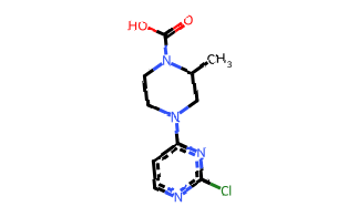 CC1CN(c2ccnc(Cl)n2)CCN1C(=O)O